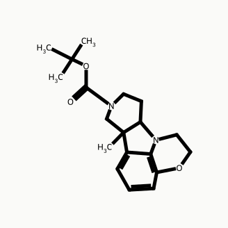 CC(C)(C)OC(=O)N1CCC2N3CCOc4cccc(c43)C2(C)C1